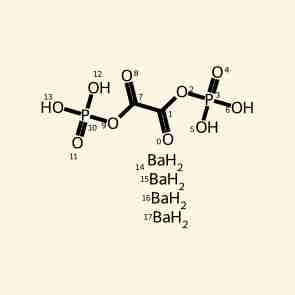 O=C(OP(=O)(O)O)C(=O)OP(=O)(O)O.[BaH2].[BaH2].[BaH2].[BaH2]